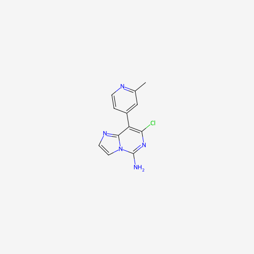 Cc1cc(-c2c(Cl)nc(N)n3ccnc23)ccn1